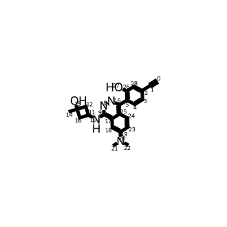 C#Cc1ccc(-c2nnc(NC3CC(C)(O)C3)c3cc(N(C)C)ccc23)c(O)c1